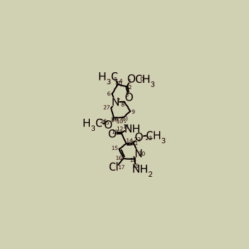 COC(=O)[C@H](C)CN1CC[C@H](NC(=O)c2cc(Cl)c(N)nc2OC)[C@H](OC)C1